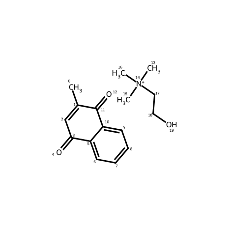 CC1=CC(=O)c2ccccc2C1=O.C[N+](C)(C)CCO